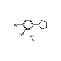 Cl.Cl.Nc1ccc(N2CCCC2)nc1N